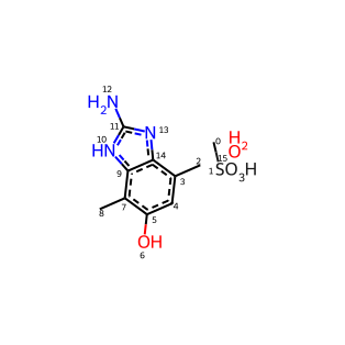 CS(=O)(=O)O.Cc1cc(O)c(C)c2[nH]c(N)nc12.O